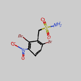 NS(=O)(=O)Cc1c(Br)ccc([N+](=O)[O-])c1Br